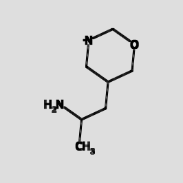 CC(N)CC1C[N]COC1